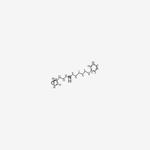 c1ccc(CCCCCCNCCCc2ccoc2)cc1